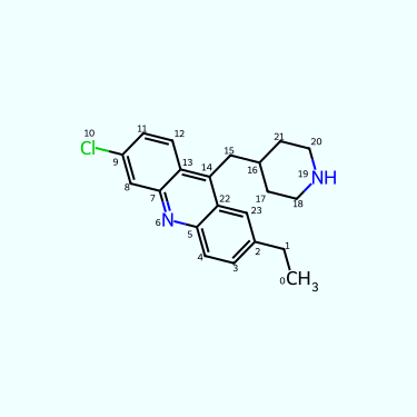 CCc1ccc2nc3cc(Cl)ccc3c(CC3CCNCC3)c2c1